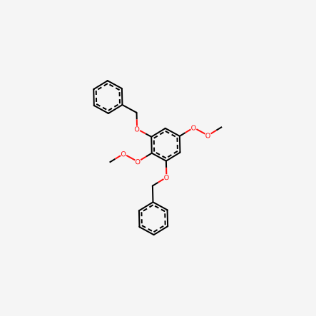 COOc1cc(OCc2ccccc2)c(OOC)c(OCc2ccccc2)c1